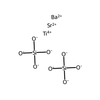 [Ba+2].[O-][Si]([O-])([O-])[O-].[O-][Si]([O-])([O-])[O-].[Sr+2].[Ti+4]